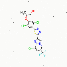 CC(CO)Oc1cc(Cl)c(-c2nnc(-c3cn4cc(C(F)(F)F)cc(Cl)c4n3)s2)cc1Cl